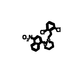 O=[N+]([O-])c1ccc(N2CCCCN2CCc2c(Cl)cccc2Cl)c2ccccc12